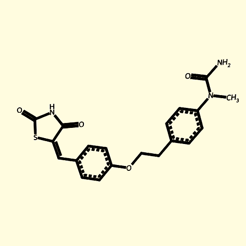 CN(C(N)=O)c1ccc(CCOc2ccc(C=C3SC(=O)NC3=O)cc2)cc1